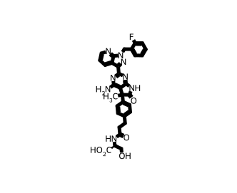 CC1(c2ccc(CCC(=O)N[C@@H](CO)C(=O)O)cc2)C(=O)Nc2nc(-c3nn(Cc4ccccc4F)c4ncccc34)nc(N)c21